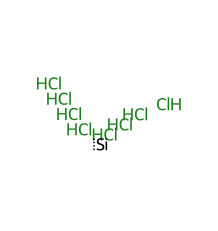 Cl.Cl.Cl.Cl.Cl.Cl.Cl.Cl.[Si]